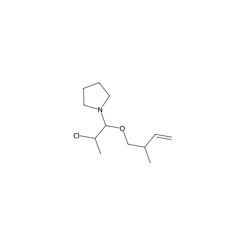 C=CC(C)COC(C(C)Cl)N1CCCC1